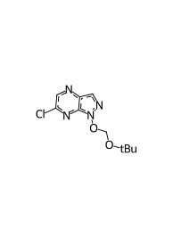 CC(C)(C)OCOn1ncc2ncc(Cl)nc21